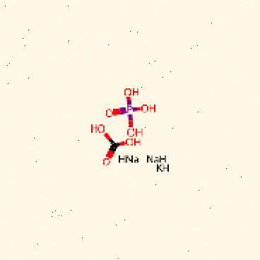 O=C(O)O.O=P(O)(O)O.[KH].[NaH].[NaH]